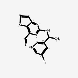 CC(Nc1nc(C=O)c2sccc2n1)c1cncc(F)c1